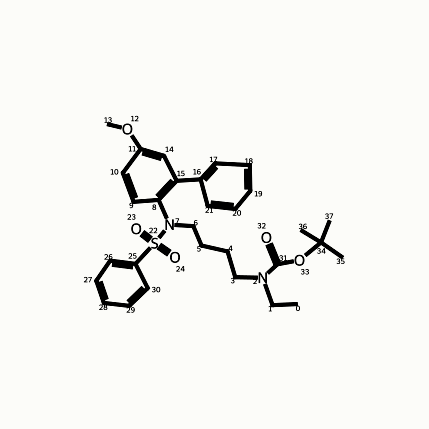 CCN(CCCCN(c1ccc(OC)cc1-c1ccccc1)S(=O)(=O)c1ccccc1)C(=O)OC(C)(C)C